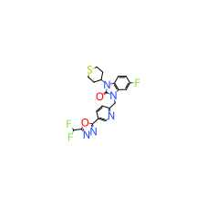 O=c1n(Cc2ccc(-c3nnc(C(F)F)o3)cn2)c2cc(F)ccc2n1C1CCSCC1